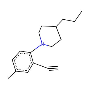 C#Cc1cc(C)ccc1N1CCC(CCC)CC1